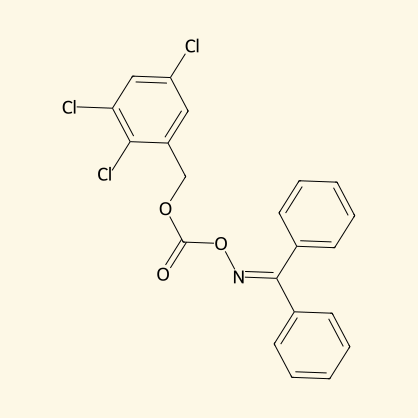 O=C(OCc1cc(Cl)cc(Cl)c1Cl)ON=C(c1ccccc1)c1ccccc1